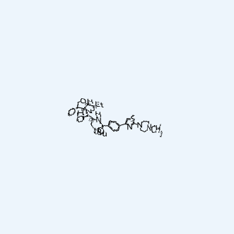 CC[C@@H]1CN(C(=O)[C@H](CC(C)(C)C)NC(=O)c2ccc(-c3csc(N4CCN(C)CC4)n3)cc2)[C@@H]2C(=O)CO[C@H]12